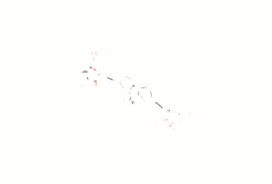 OC[C@@H]1C[C@H](O)[C@H](O)[C@@H](C#Cc2ccc3c(c2)C(F)(F)c2cc(C#C[C@H]4O[C@H](CO)[C@@H](O)[C@H](O)[C@@H]4O)ccc2-3)O1